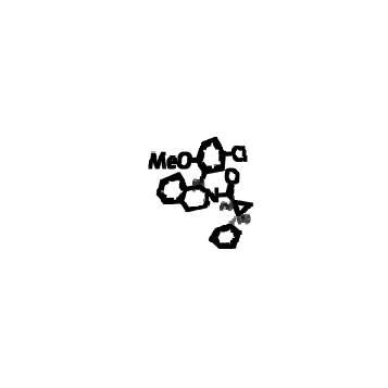 COc1ccc(Cl)cc1[C@@H]1c2ccccc2CCN1C(=O)[C@H]1C[C@@H]1c1ccccc1